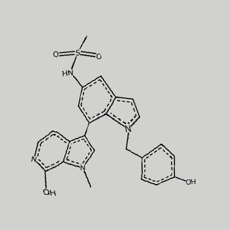 Cn1cc(-c2cc(NS(C)(=O)=O)cc3ccn(Cc4ccc(O)cc4)c23)c2ccnc(O)c21